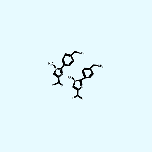 Cn1cc(C(F)F)nc1-c1ccc(CN)cc1.Cn1cc(C(F)F)nc1-c1ccc(CN)cc1